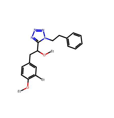 CCOc1ccc(CC(OCC)c2nnnn2CCc2ccccc2)cc1CC